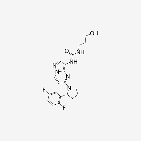 O=C(NCCCO)Nc1cnn2ccc(N3CCC[C@@H]3c3cc(F)ccc3F)nc12